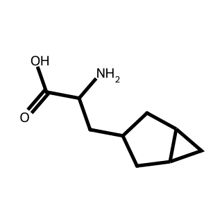 NC(CC1CC2CC2C1)C(=O)O